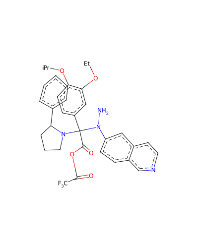 CCOc1cc(C(C(=O)OC(=O)C(F)(F)F)(N(N)c2ccc3cnccc3c2)N2CCCC2c2ccccc2)ccc1OC(C)C